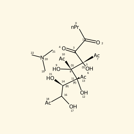 CCCC(=O)C(=O)[C@@](O)(C(C)=O)[C@](O)(C(C)=O)[C@@](O)(C(C)=O)[C@H](O)C(O)C(C)=O.CN(C)C